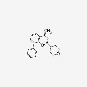 C=C1C=C(C2CCOCC2)Oc2c1cccc2-c1ccccc1